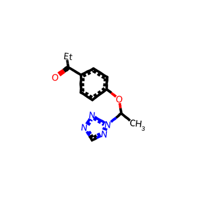 CCC(=O)c1ccc(OC(C)n2ncnn2)cc1